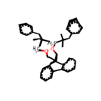 CC(C)(Cc1ccccc1)[SiH2]OCC1(CO[SiH2]C(C)(C)Cc2ccccc2)c2ccccc2-c2ccccc21